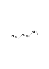 [N]=C/C=N/N